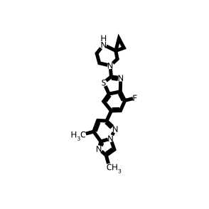 Cc1cn2nc(-c3cc(F)c4nc(N5CCNC6(CC6)C5)sc4c3)cc(C)c2n1